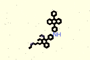 C=C/C=C\CCCc1c(C=C)c(/C=C\C)c(-c2ccc(NC3C=CC(C4=c5ccccc5=C(C5=CCCC=C5)C5=CCCCC54)=CC3)cc2)c2ccccc12